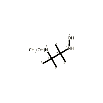 CN(O)C(C)(C)C(C)(C)NO